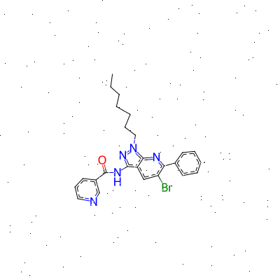 CCCCCCCn1nc(NC(=O)c2cccnc2)c2cc(Br)c(-c3cc[c]cc3)nc21